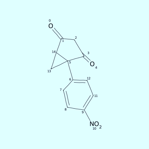 O=C1CC(=O)C2(c3ccc([N+](=O)[O-])cc3)CC12